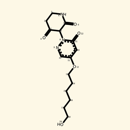 O=C1CCNC(=O)C1n1ncc(OCCCCCCO)cc1=O